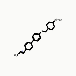 C/C=C/C1C=CC(c2ccc(OCC3CCC(CCCCC)CC3)cc2)CC1